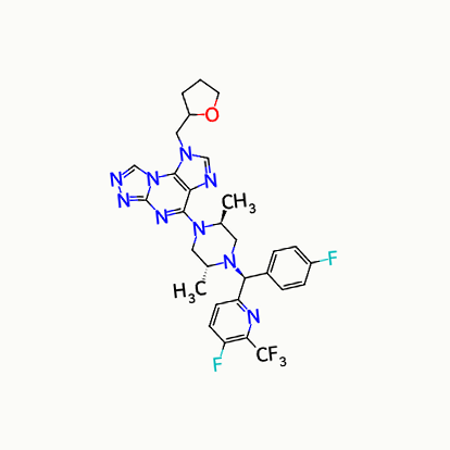 C[C@@H]1CN(c2nc3nncn3c3c2ncn3CC2CCCO2)[C@@H](C)CN1[C@@H](c1ccc(F)cc1)c1ccc(F)c(C(F)(F)F)n1